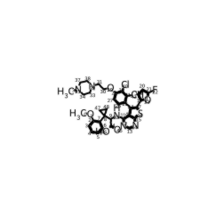 COc1ccccc1C1(C(Nc2ncnc3sc(-c4ccc(F)o4)c(-c4ccc(OCCN5CCN(C)CC5)c(Cl)c4C)c23)C(=O)O)CC1